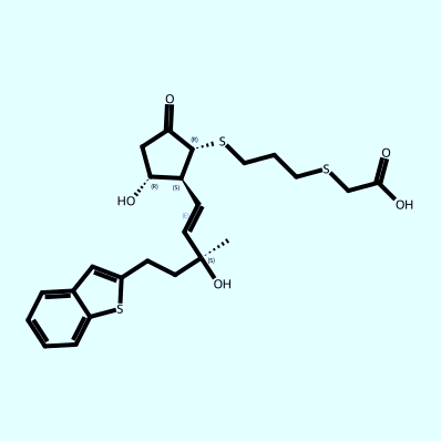 C[C@@](O)(/C=C/[C@H]1[C@H](O)CC(=O)[C@@H]1SCCCSCC(=O)O)CCc1cc2ccccc2s1